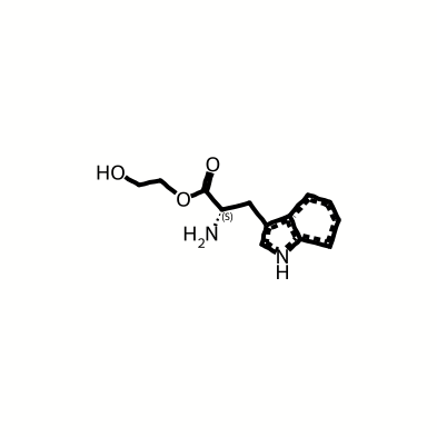 N[C@@H](Cc1c[nH]c2ccccc12)C(=O)OCCO